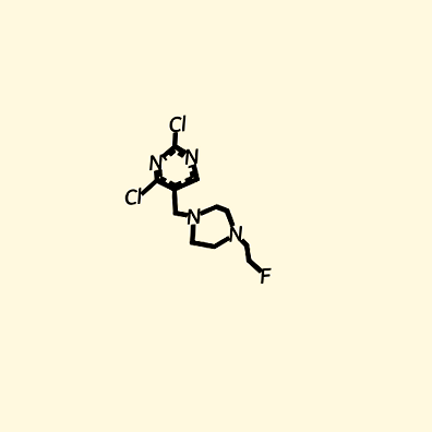 FCCN1CCN(Cc2cnc(Cl)nc2Cl)CC1